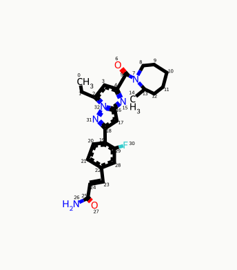 CCc1cc(C(=O)N2CCCCCC2C)nc2cc(-c3ccc(/C=C/C(N)=O)cc3F)nn12